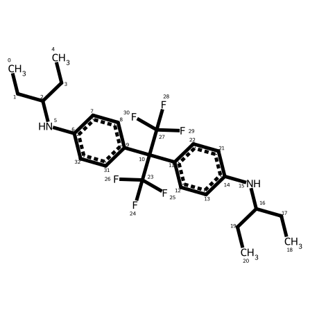 CCC(CC)Nc1ccc(C(c2ccc(NC(CC)CC)cc2)(C(F)(F)F)C(F)(F)F)cc1